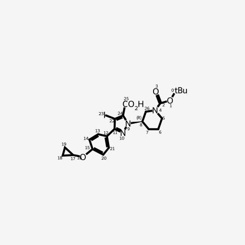 CC(C)(C)OC(=O)N1CCC[C@@H](n2nc(-c3ccc(OC4CC4)cc3)c(I)c2C(=O)O)C1